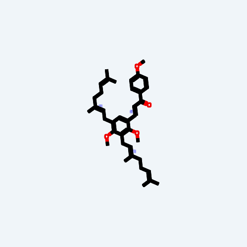 COc1ccc(C(=O)/C=C/c2cc(C/C=C(\C)CCC=C(C)C)c(OC)c(C/C=C(\C)CCC=C(C)C)c2OC)cc1